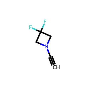 C#CN1CC(F)(F)C1